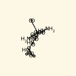 COC(=O)CCCCCCCCCCC(=O)NC(COCCC(=O)NCCCN)(COCCC(=O)NCCCN)COCCC(=O)NCCCNC(=O)CCCCO/C(O)=C/C(CCOC(=O)c1ccccc1)OC(=O)c1ccccc1